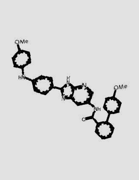 COc1ccc(Nc2ccc(-c3nc4cc(NC(=O)c5ccccc5-c5ccc(OC)cc5)cnc4[nH]3)cc2)cc1